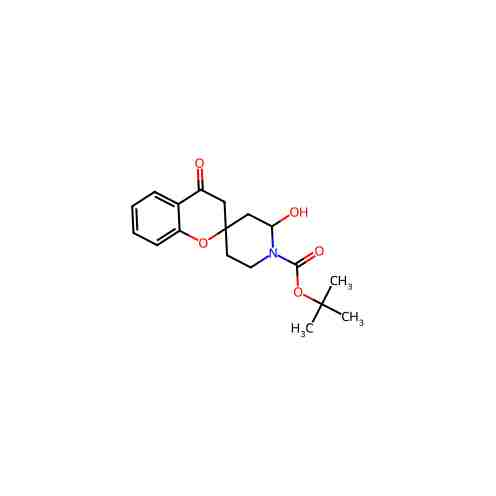 CC(C)(C)OC(=O)N1CCC2(CC(=O)c3ccccc3O2)CC1O